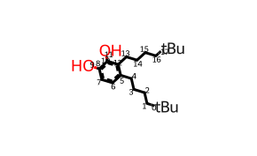 CC(C)(C)CCCCc1ccc(O)c(O)c1CCCCC(C)(C)C